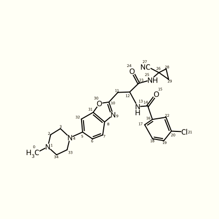 CN1CCN(c2ccc3nc(CC(NC(=O)c4cccc(Cl)c4)C(=O)NC4(C#N)CC4)oc3c2)CC1